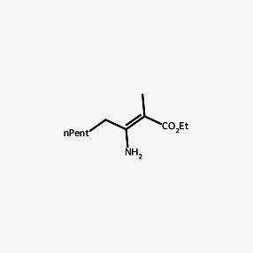 CCCCCCC(N)=C(C)C(=O)OCC